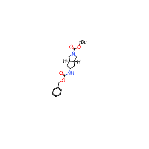 CC(C)(C)OC(=O)N1C[C@H]2CC(NC(=O)OCc3ccccc3)C[C@H]2C1